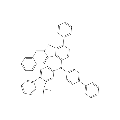 CC1(C)c2ccccc2-c2ccc(N(c3ccc(-c4ccccc4)cc3)c3ccc(-c4ccccc4)c4sc5cc6ccccc6cc5c34)cc21